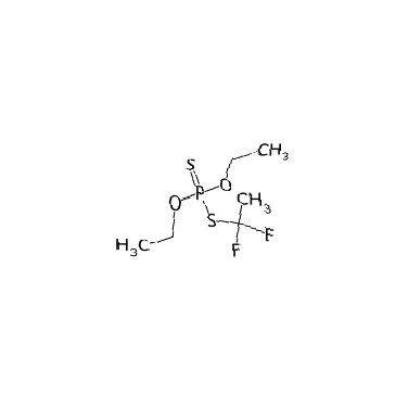 CCOP(=S)(OCC)SC(C)(F)F